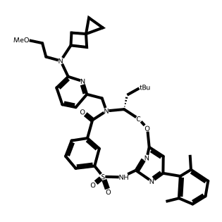 COCCN(c1cccc(CN2C(=O)c3cccc(c3)S(=O)(=O)Nc3nc(cc(-c4c(C)cccc4C)n3)OC[C@H]2CC(C)(C)C)n1)C1CC2(CC2)C1